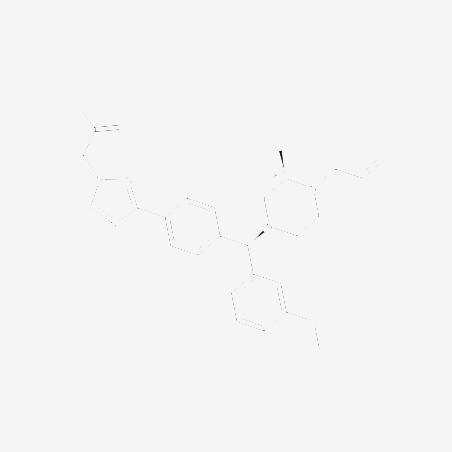 C=CCN1C[C@H](C)N([C@H](c2ccc(-c3ncn(CC(=O)O)n3)cc2)c2cccc(OC)c2)C[C@H]1C